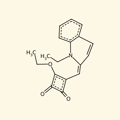 CCOc1c(C=C2C=Cc3ccccc3N2CC)c(=O)c1=O